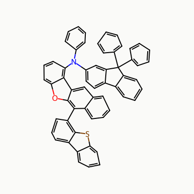 c1ccc(N(c2ccc3c(c2)C(c2ccccc2)(c2ccccc2)c2ccccc2-3)c2cccc3oc4c(-c5cccc6c5sc5ccccc56)c5ccccc5cc4c23)cc1